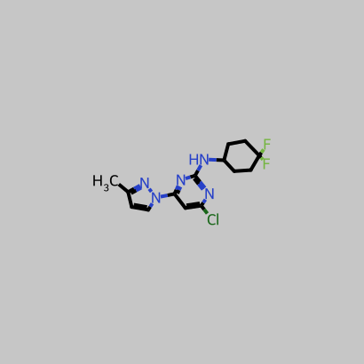 Cc1ccn(-c2cc(Cl)nc(NC3CCC(F)(F)CC3)n2)n1